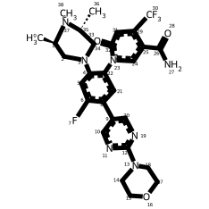 C[C@@H]1CN(c2cc(F)c(-c3cnc(N4CCOCC4)nc3)cc2-n2cc(C(N)=O)c(C(F)(F)F)cc2=O)C[C@@H](C)N1C